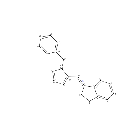 C(=C1/CCc2ccccc21)/c1cncn1Cc1ccccc1